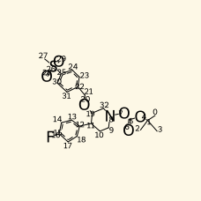 CC(C)(C)OC(=O)ON1CCC(c2ccc(F)cc2)C(OCc2ccc(S(C)(=O)=O)cc2)C1